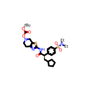 CCN(CC)S(=O)(=O)c1ccc([C@@H](CC2CCCC2)C(=O)Nc2nc3c(s2)CN(OC(=O)OC(C)(C)C)CC3)cc1